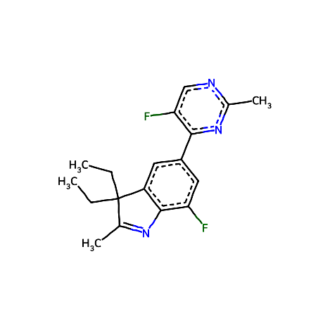 CCC1(CC)C(C)=Nc2c(F)cc(-c3nc(C)ncc3F)cc21